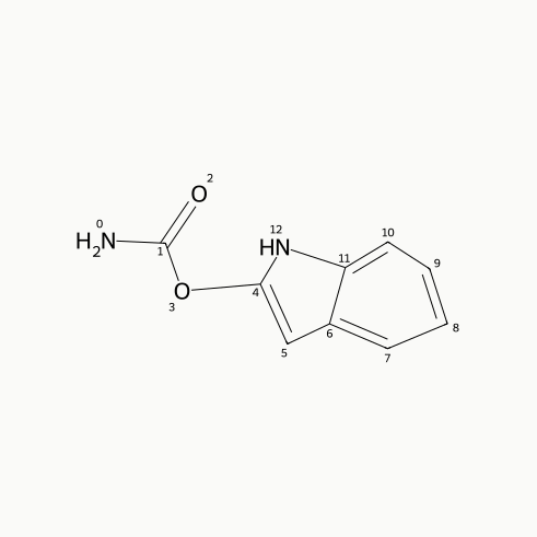 NC(=O)Oc1cc2ccccc2[nH]1